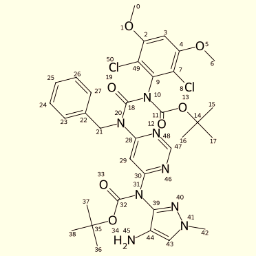 COc1cc(OC)c(Cl)c(N(C(=O)OC(C)(C)C)C(=O)N(Cc2ccccc2)c2cc(N(C(=O)OC(C)(C)C)c3nn(C)cc3N)ncn2)c1Cl